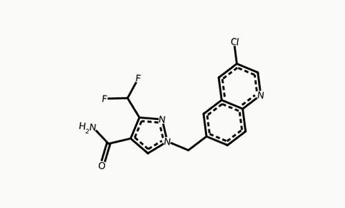 NC(=O)c1cn(Cc2ccc3ncc(Cl)cc3c2)nc1C(F)F